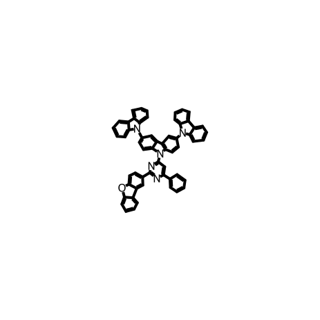 c1ccc(-c2cc(-n3c4ccc(-n5c6ccccc6c6ccccc65)cc4c4cc(-n5c6ccccc6c6ccccc65)ccc43)nc(-c3ccc4oc5ccccc5c4c3)n2)cc1